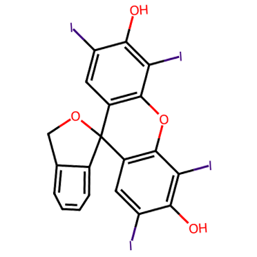 Oc1c(I)cc2c(c1I)Oc1c(cc(I)c(O)c1I)C21OCc2ccccc21